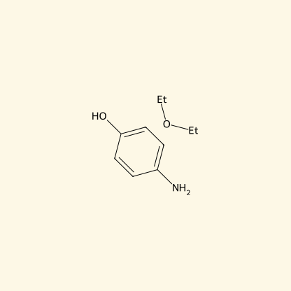 CCOCC.Nc1ccc(O)cc1